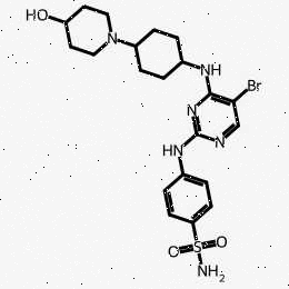 NS(=O)(=O)c1ccc(Nc2ncc(Br)c(NC3CCC(N4CCC(O)CC4)CC3)n2)cc1